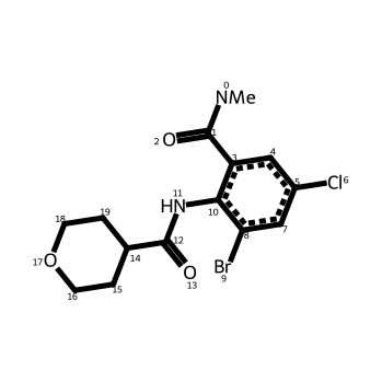 CNC(=O)c1cc(Cl)cc(Br)c1NC(=O)C1CCOCC1